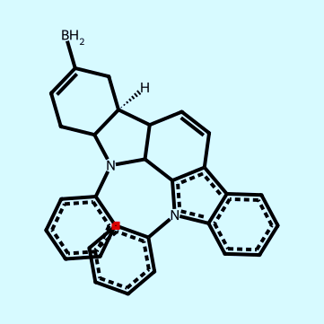 BC1=CCC2[C@@H](C1)C1C=Cc3c(n(-c4ccccc4)c4ccccc34)C1N2c1ccccc1